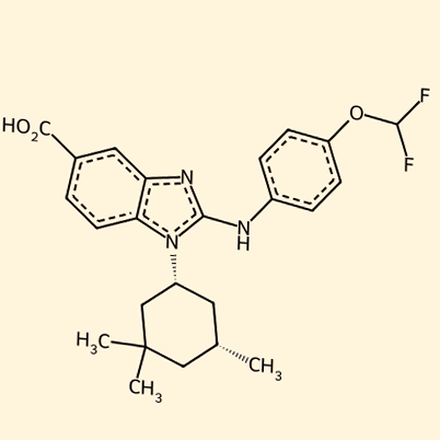 C[C@H]1C[C@@H](n2c(Nc3ccc(OC(F)F)cc3)nc3cc(C(=O)O)ccc32)CC(C)(C)C1